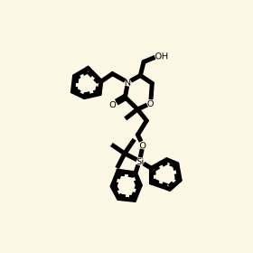 CC1(CCO[Si](c2ccccc2)(c2ccccc2)C(C)(C)C)OCC(CO)N(Cc2ccccc2)C1=O